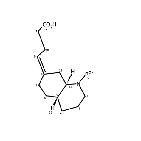 CCCN1CCC[C@@H]2CCC(=CCCC(=O)O)C[C@H]21